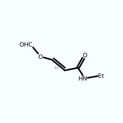 CCNC(=O)/C=C/O[C]=O